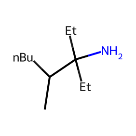 CCCCC(C)C(N)(CC)CC